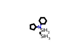 [SiH3]C[SiH2]N(C1CCCCC1)C1CCCC1